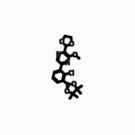 COc1nc(-c2cccc(B3OC(C)(C)C(C)(C)O3)c2Cl)cnc1C1OCCO1